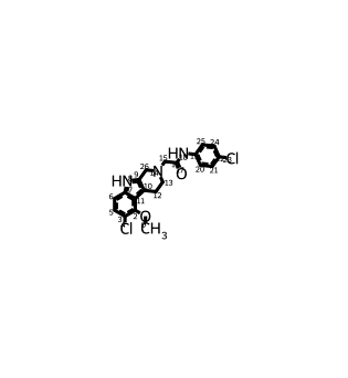 COc1c(Cl)ccc2[nH]c3c(c12)CCN(CC(=O)Nc1ccc(Cl)cc1)C3